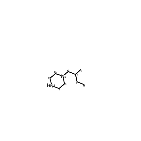 CCC(C)CN1CCNCC1